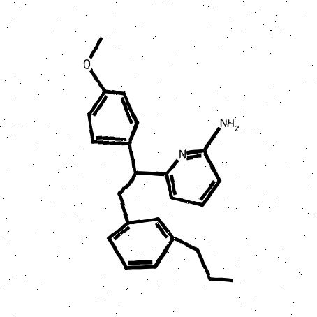 CCCc1cccc(CC(c2ccc(OC)cc2)c2cccc(N)n2)c1